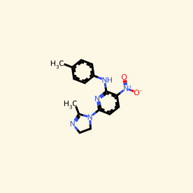 CC1=NCCN1c1ccc([N+](=O)[O-])c(Nc2ccc(C)cc2)n1